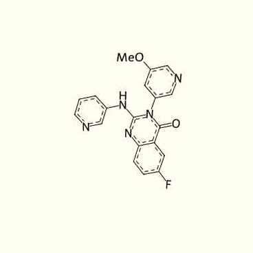 COc1cncc(-n2c(Nc3cccnc3)nc3ccc(F)cc3c2=O)c1